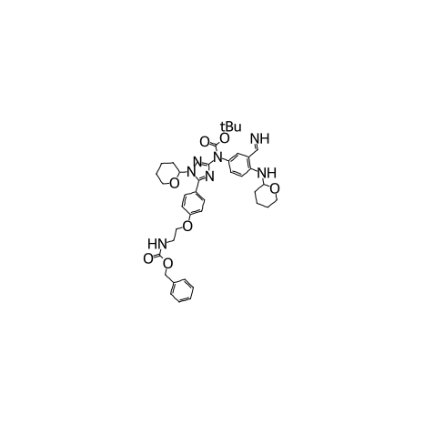 CC(C)(C)OC(=O)N(c1ccc(NC2CCCCO2)c(C=N)c1)c1nc(-c2ccc(OCCNC(=O)OCc3ccccc3)cc2)n(C2CCCCO2)n1